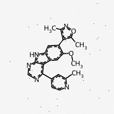 COc1cc2c(cc1-c1c(C)noc1C)[nH]c1ncnc(-c3ccnc(C)c3)c12